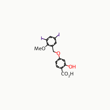 COc1c(I)cc(I)cc1COc1ccc(C(=O)O)c(O)c1